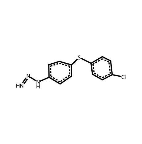 N=NNc1ccc(Sc2ccc(Cl)cc2)cc1